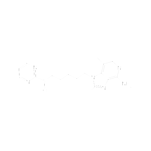 Cc1cnc(N)c2nc(C)n(CCCCC[S+]([O-])c3ncccn3)c12